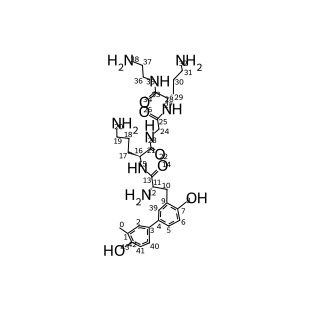 Cc1cc(-c2ccc(O)c(C[C@H](N)C(=O)N[C@@H](CCCN)C(=O)NCC(=O)N[C@@H](CCCN)C(=O)NCCN)c2)ccc1O